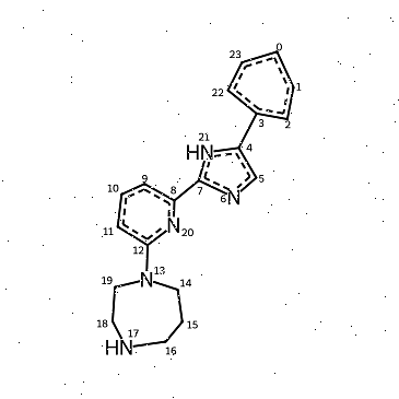 c1ccc(-c2cnc(-c3cccc(N4CCCNCC4)n3)[nH]2)cc1